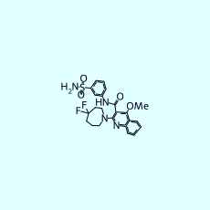 COc1c(C(=O)Nc2cccc(S(N)(=O)=O)c2)c(N2CCCC(F)(F)CC2)nc2ccccc12